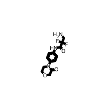 NCC(F)(F)C(=O)Nc1ccc(N2CCOCC2=O)cc1